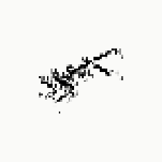 CCCCCCN(CCCCCC)C(=O)CC[C@@H](C)[C@H]1CC[C@@H](C)[C@]1(C)[C@H](C[C@@H](C[C@@H](CC)OCCCN)C(C)(C)CC[C@H](CC)OCCCN)OCCCN